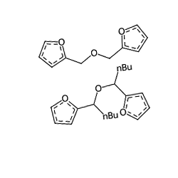 CCCCC(OC(CCCC)c1ccco1)c1ccco1.c1coc(COCc2ccco2)c1